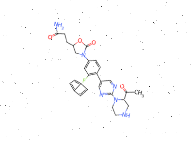 CC(=O)C1CNCCN1c1ncc(-c2ccc(N3CC(CCC(N)=O)OC3=O)cc2F)cn1.c1cc2ccc1-2